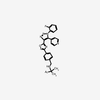 CC(=O)C(C)(C)NCc1ccc(-c2noc(-c3nnn(-c4ccccc4F)c3-c3ccncc3)n2)cc1